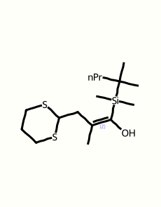 CCCC(C)(C)[Si](C)(C)/C(O)=C(/C)CC1SCCCS1